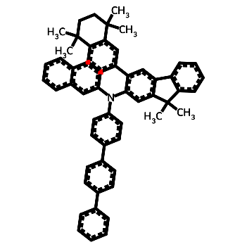 CC1(C)CCC(C)(C)c2cc(-c3cc4c(cc3N(c3ccc(-c5ccc(-c6ccccc6)cc5)cc3)c3ccc5ccccc5c3)C(C)(C)c3ccccc3-4)ccc21